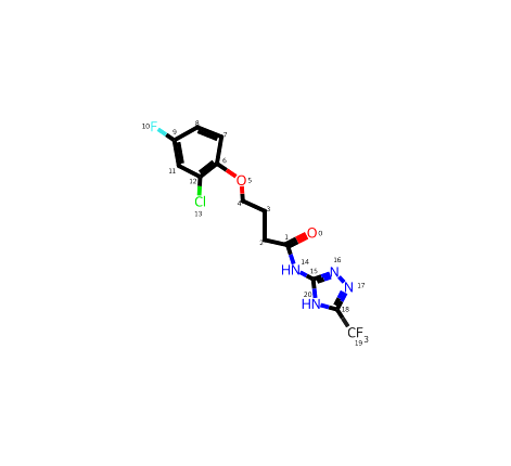 O=C(CCCOc1ccc(F)cc1Cl)Nc1nnc(C(F)(F)F)[nH]1